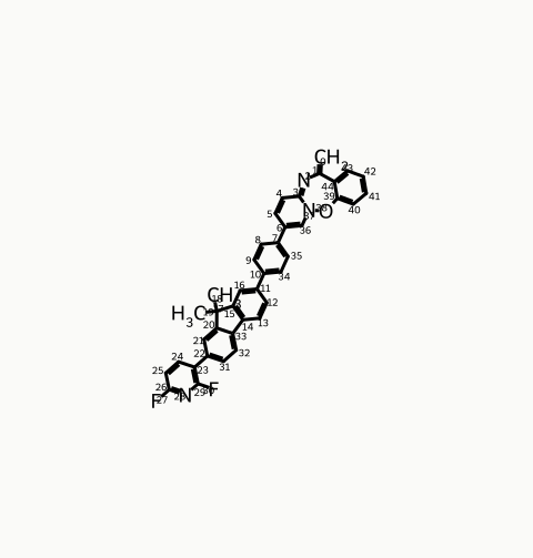 C=C1N=C2C=CC(c3ccc(-c4ccc5c(c4)C(C)(C)c4cc(-c6ccc(F)nc6F)ccc4-5)cc3)=CN2Oc2ccccc21